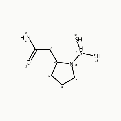 NC(=O)CC1CCCN1[SH](S)S